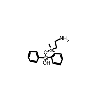 C[Si](C)(CCN)O[Si](O)(c1ccccc1)c1ccccc1